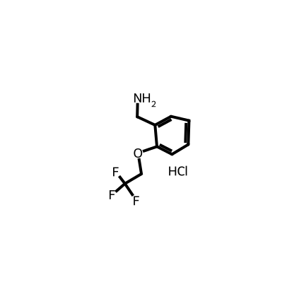 Cl.NCc1ccccc1OCC(F)(F)F